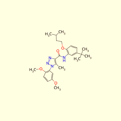 COc1ccc(OC)c(-n2nnc(C(=O)Nc3cc(C(C)(C)C)ccc3OCCC(C)C)c2C)c1